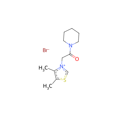 Cc1sc[n+](CC(=O)N2CCCCC2)c1C.[Br-]